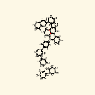 c1cc(-c2ccc(N(c3ccc(-c4cccc5ccccc45)cc3)c3ccccc3-c3ccc4c(c3)oc3ccccc34)cc2)cc(-c2ccc(-n3c4ccccc4c4ccccc43)cc2)c1